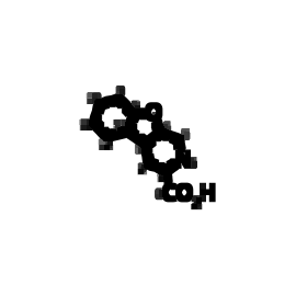 O=C(O)c1cc2c(cn1)oc1ccccc12